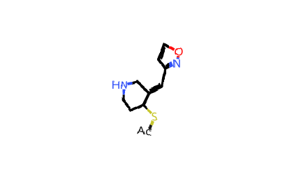 CC(=O)SC1CCNCC1=Cc1ccon1